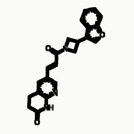 O=C1CCc2cc(/C=C/C(=O)N3CC(c4coc5ccccc45)C3)cnc2N1